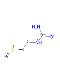 CC(C)SCCNC(=N)N